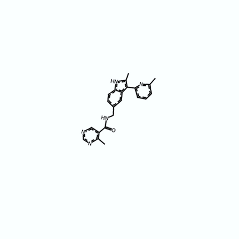 Cc1cccc(-c2c(C)[nH]c3ccc(CNC(=O)c4cncnc4C)cc23)n1